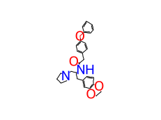 O=C(Cc1ccc(Oc2ccccc2)cc1)NC(Cc1ccc2c(c1)OCCO2)CN1CCCC1